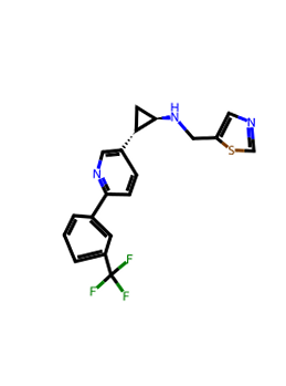 FC(F)(F)c1cccc(-c2ccc([C@@H]3C[C@H]3NCc3cncs3)cn2)c1